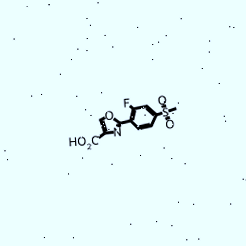 CS(=O)(=O)c1ccc(-c2nc(C(=O)O)co2)c(F)c1